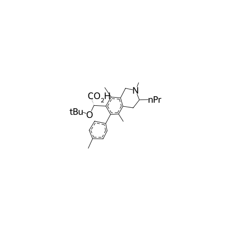 CCCC1Cc2c(C)c(-c3ccc(C)cc3)c([C@H](OC(C)(C)C)C(=O)O)c(C)c2CN1C